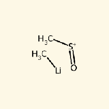 C[S+]=O.[Li][CH3]